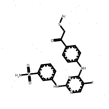 CC(=O)SCC(=O)c1ccc(Nc2nc(Nc3cccc(S(N)(=O)=O)c3)ncc2F)cc1